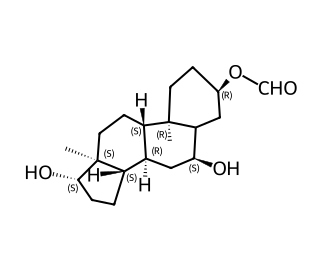 C[C@]12CC[C@H]3[C@@H](C[C@H](O)C4C[C@H](OC=O)CC[C@@]43C)[C@@H]1CC[C@@H]2O